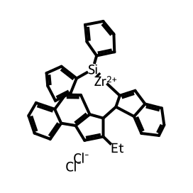 CCC1=Cc2c(ccc3ccccc23)C1C1[C]([Zr+2]=[Si](c2ccccc2)c2ccccc2)=Cc2ccccc21.[Cl-].[Cl-]